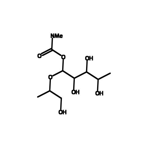 CNC(=O)OC(OC(C)CO)C(O)C(O)C(C)O